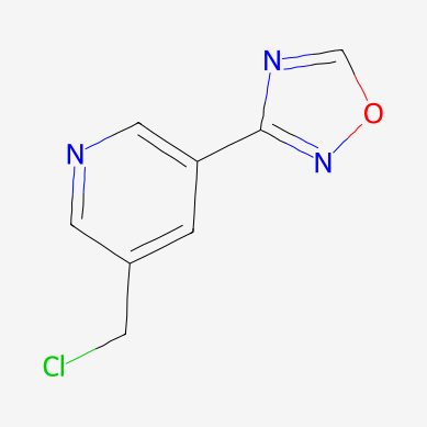 ClCc1cncc(-c2ncon2)c1